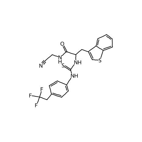 N#CCNC(=O)C(Cc1csc2ccccc12)NC(=S)Nc1ccc(CC(F)(F)F)cc1